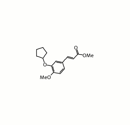 COC(=O)C=Cc1ccc(OC)c(OC2CCCC2)c1